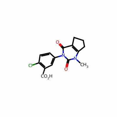 Cn1c2c(c(=O)n(-c3ccc(Cl)c(C(=O)O)c3)c1=O)CCC2